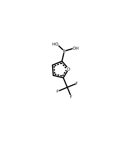 OB(O)c1ccc(C(F)(F)F)o1